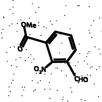 COC(=O)c1cccc(C=O)c1[N+](=O)[O-]